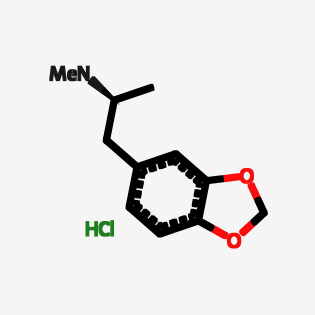 CN[C@@H](C)Cc1ccc2c(c1)OCO2.Cl